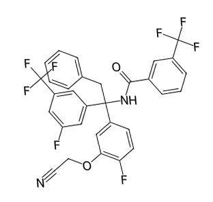 N#CCOc1cc(C(Cc2ccccc2)(NC(=O)c2cccc(C(F)(F)F)c2)c2cc(F)cc(C(F)(F)F)c2)ccc1F